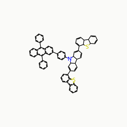 C1=CC2SC3C(C4=CC5C(C=C4)C4C=CC(c6cccc7c6sc6ccccc67)=CC4N5c4ccc(-c5ccc6c(-c7ccccc7)c7ccccc7c(-c7ccccc7)c6c5)cc4)=CC=CC3C2C=C1